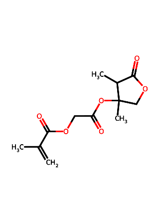 C=C(C)C(=O)OCC(=O)OC1(C)COC(=O)C1C